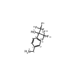 NCc1ccc(C(O)(C(F)(F)F)C(F)(F)F)cc1